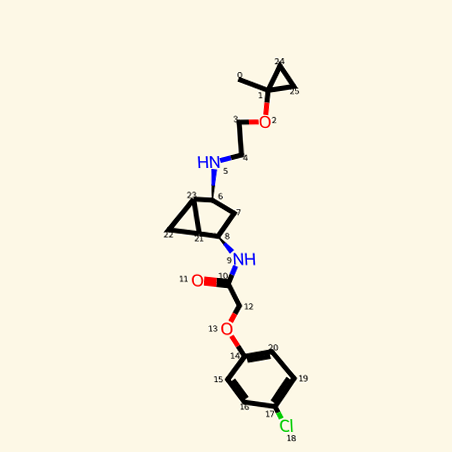 CC1(OCCN[C@H]2C[C@@H](NC(=O)COc3ccc(Cl)cc3)C3CC32)CC1